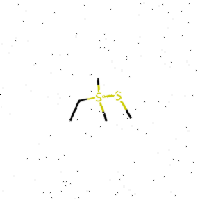 CCS(C)(C)SC